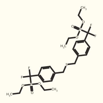 CCOP(=O)(OCC)C(F)(F)c1ccc(CSCc2ccc(C(F)(F)P(=O)(OCC)OCC)cc2)cc1